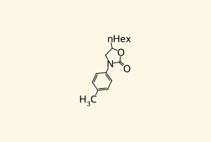 CCCCCCC1CN(c2ccc(C)cc2)C(=O)O1